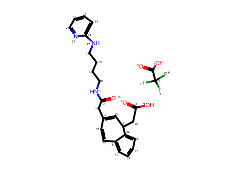 O=C(O)C(F)(F)F.O=C(O)CC1C=C(CC(=O)NCCCCNc2ccccn2)C=Cc2ccccc21